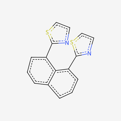 c1cc(-c2nccs2)c2c(-c3nccs3)cccc2c1